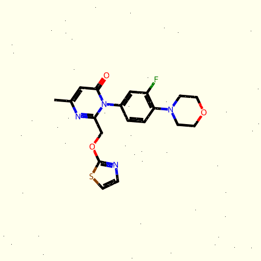 Cc1cc(=O)n(-c2ccc(N3CCOCC3)c(F)c2)c(COc2nccs2)n1